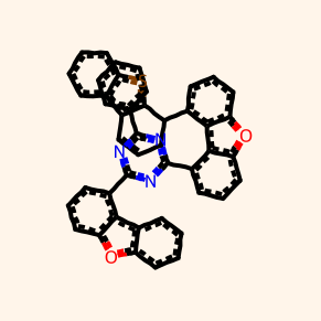 C1=Cc2c(sc3ccccc23)C(c2cccc3oc4cccc(-c5nc(-c6ccccc6)nc(-c6cccc7oc8ccccc8c67)n5)c4c23)C1